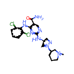 CN1CCCC(n2cc(Nc3ncc(C(N)=O)c(Nc4c(Cl)cccc4Cl)n3)cn2)C1